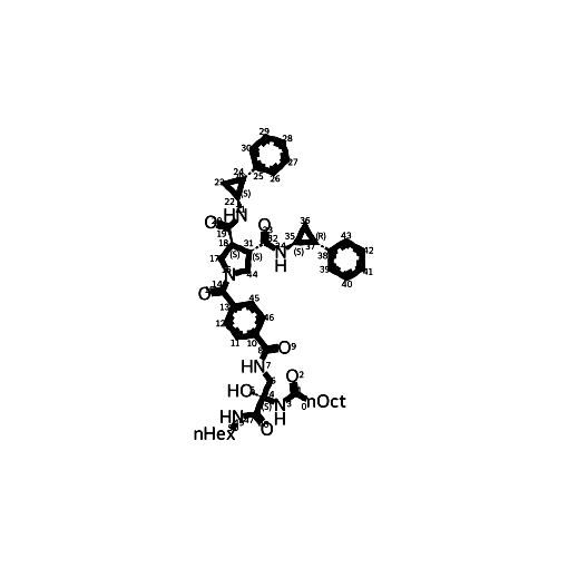 CCCCCCCCC(=O)N[C@](O)(CNC(=O)c1ccc(C(=O)N2C[C@@H](C(=O)N[C@H]3C[C@@H]3c3ccccc3)[C@H](C(=O)N[C@H]3C[C@@H]3c3ccccc3)C2)cc1)C(=O)NCCCCCC